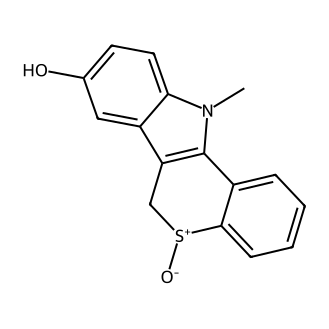 Cn1c2c(c3cc(O)ccc31)C[S+]([O-])c1ccccc1-2